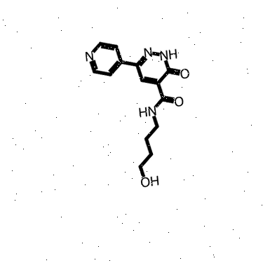 O=C(NCCCCO)c1cc(-c2ccncc2)n[nH]c1=O